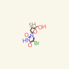 O=c1[nH]c(=O)n([C@H]2CC(S)[C@@H](CO)O2)cc1Br